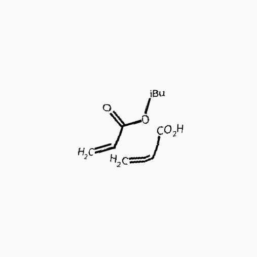 C=CC(=O)O.C=CC(=O)OC(C)CC